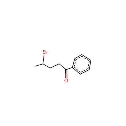 CC(Br)CCC(=O)c1ccccc1